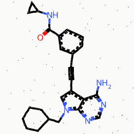 Nc1ncnc2c1c(C#Cc1cccc(C(=O)NC3CC3)c1)cn2CC1CCCCC1